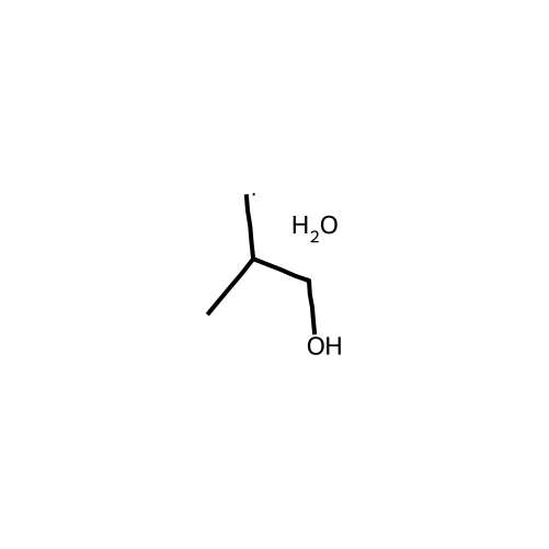 O.[CH2]C(C)CO